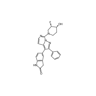 O=C1Cc2cc(-c3c(-c4ccccc4)nn4c(N5CC[C@H](O)[C@H](F)C5)nccc34)ccc2N1